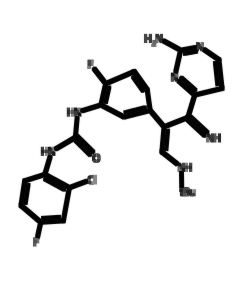 CC(C)(C)N/C=C(\C(=N)c1ccnc(N)n1)c1ccc(F)c(NC(=O)Nc2ccc(F)cc2Cl)c1